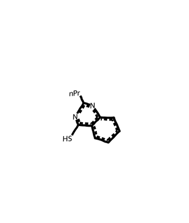 CCCc1nc(S)c2ccccc2n1